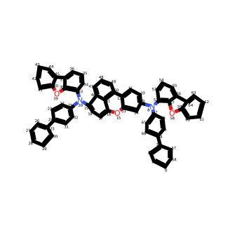 c1ccc(-c2ccc(N(c3ccc4c(c3)Oc3ccc(N(c5ccc(-c6ccccc6)cc5)c5cccc6c5oc5ccccc56)c5cccc-4c35)c3cccc4c3oc3ccccc34)cc2)cc1